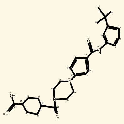 CC(C)(C)c1cccc(NC(=O)c2ccc(N3CCN(C(=O)C4CCC(C(=O)O)CC4)CC3)cc2)c1